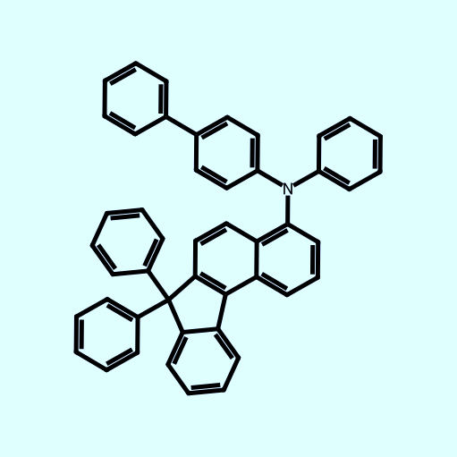 c1ccc(-c2ccc(N(c3ccccc3)c3cccc4c5c(ccc34)C(c3ccccc3)(c3ccccc3)c3ccccc3-5)cc2)cc1